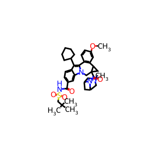 COc1ccc2c(c1)C1CC1(C(=O)N1C3CC1CN(C)C3)Cn1c-2c(C2CCCCC2)c2ccc(C(=O)NS(=O)(=O)CC(C)(C)C)cc21